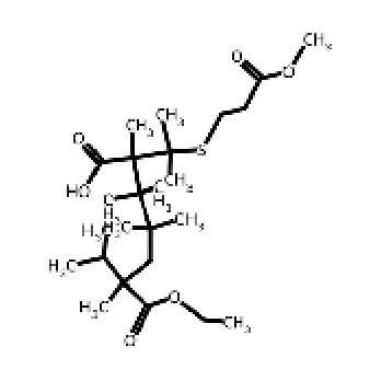 CCOC(=O)C(C)(CC(C)(C)C(C)(C)C(C)(C(=O)O)C(C)(C)SCCC(=O)OC)C(C)C